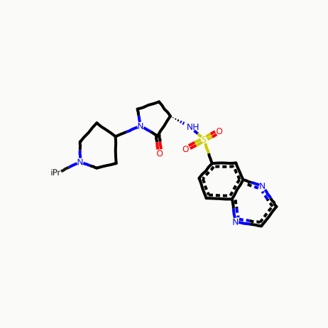 CC(C)N1CCC(N2CC[C@H](NS(=O)(=O)c3ccc4nccnc4c3)C2=O)CC1